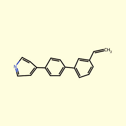 C=Cc1cccc(-c2ccc(-c3ccncc3)cc2)c1